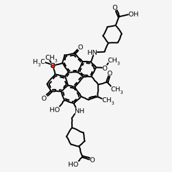 COc1c(NCC2CCC(C(=O)O)CC2)c2c(=O)cc(OC)c3c4c(OC)cc(=O)c5c(O)c(NCC6CCC(C(=O)O)CC6)c6c(c(c1C(C(C)=O)C(C)=C6)c23)c54